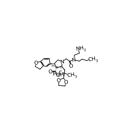 CCCCN(CCN)C(=O)CN1C[C@H](c2ccc3c(c2)CCO3)[C@@H](C(=O)O)[C@@H]1CC(C)(C)C1OCCO1